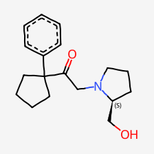 O=C(CN1CCC[C@H]1CO)C1(c2ccccc2)CCCC1